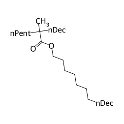 CCCCCCCCCCCCCCCCCOC(=O)C(C)(CCCCC)CCCCCCCCCC